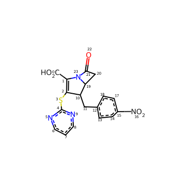 O=C(O)C1=C(Sc2ncccn2)C(Cc2ccc([N+](=O)[O-])cc2)C2CC(=O)N12